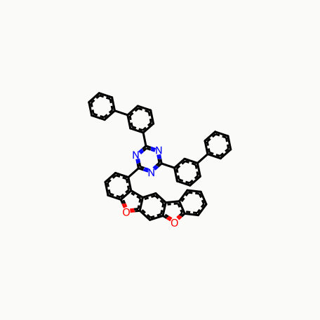 c1ccc(-c2cccc(-c3nc(-c4cccc(-c5ccccc5)c4)nc(-c4cccc5oc6cc7oc8ccccc8c7cc6c45)n3)c2)cc1